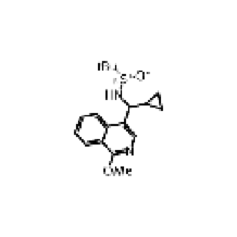 COc1ncc(C(N[S@@+]([O-])C(C)(C)C)C2CC2)c2ccccc12